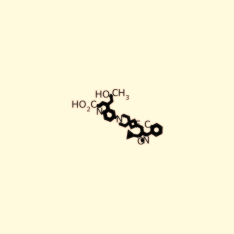 CC(O)Cc1cc(C(=O)O)nc2ccc(N3CCC4(CC3)CC(Cc3c(-c5ccccc5C(F)(F)F)noc3C3CC3)C4)cc12